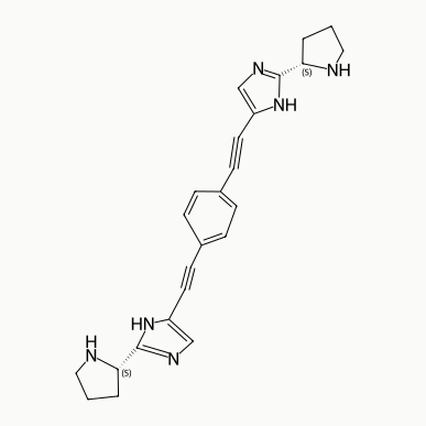 C(#Cc1cnc([C@@H]2CCCN2)[nH]1)c1ccc(C#Cc2cnc([C@@H]3CCCN3)[nH]2)cc1